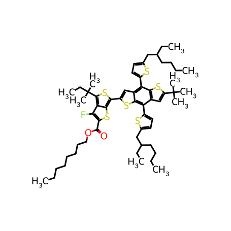 CCCCCCCCOC(=O)c1sc2c(-c3cc4c(-c5ccc(CC(CC)CCCC)s5)c5sc(C(C)(C)C)cc5c(-c5ccc(CC(CC)CCCC)s5)c4s3)sc(C(C)(C)CC)c2c1F